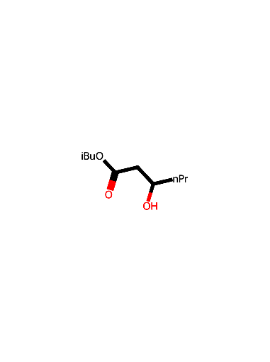 CCCC(O)CC(=O)OCC(C)C